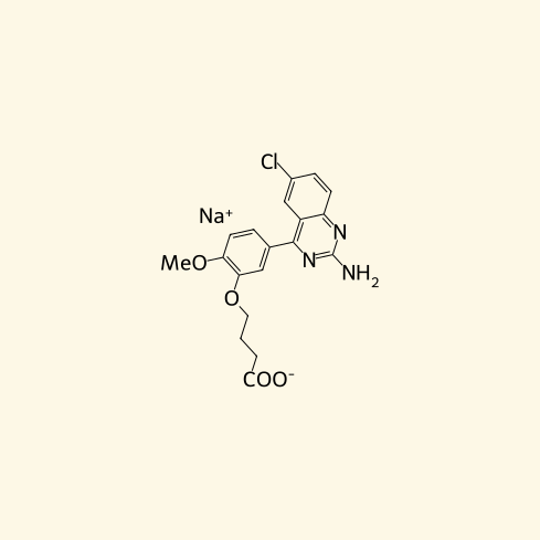 COc1ccc(-c2nc(N)nc3ccc(Cl)cc23)cc1OCCCC(=O)[O-].[Na+]